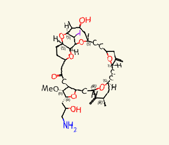 C=C1CC2CC[C@@]3(C)CC(O)C(C)[C@@H]4O[C@H]5CCC(CC(=O)CC6C(C[C@H]7O[C@@H](CC[C@@H]1O2)C[C@@H](C)C7=C)O[C@H](CC(O)CN)[C@@H]6OC)O[C@@H]5C(O3)C4I